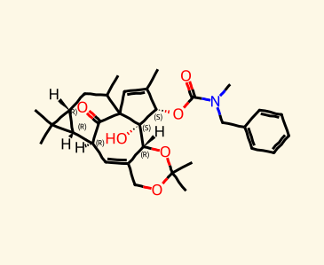 CC1=CC23C(=O)[C@@H](C=C4COC(C)(C)O[C@H]4[C@]2(O)[C@H]1OC(=O)N(C)Cc1ccccc1)[C@H]1[C@@H](CC3C)C1(C)C